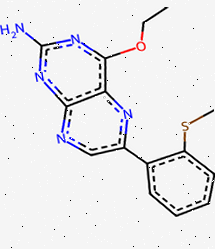 CCOc1nc(N)nc2ncc(-c3ccccc3SC)nc12